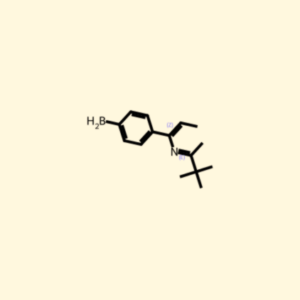 Bc1ccc(C(=C/C)/N=C(\C)C(C)(C)C)cc1